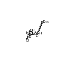 CCCCCCCCCCCCCCCCCCNC(=O)OCC(CNS(=O)(=O)CCCCl)CC(C)O